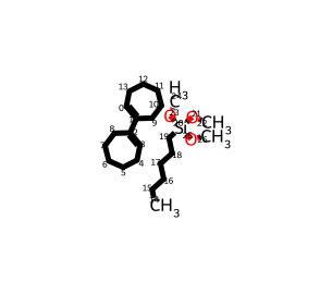 C1=C(C2=CCCCCC2)CCCCC1.CCCCCC[Si](OC)(OC)OC